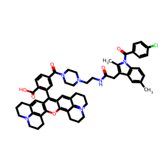 Cc1ccc2c(c1)c(CC(=O)NCCN1CCN(C(=O)c3ccc(C(=O)O)c(C4=c5cc6c7c(c5Oc5c4cc4c8c5CCCN8CCC4)CCC[N+]=7CCC6)c3)CC1)c(C)n2C(=O)c1ccc(Cl)cc1